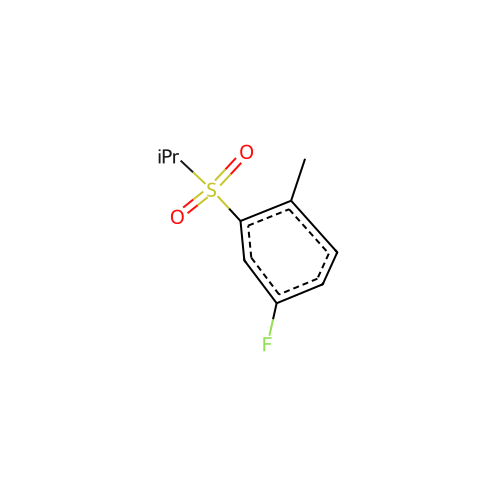 Cc1ccc(F)cc1S(=O)(=O)C(C)C